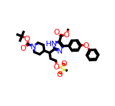 COC(=O)c1[nH]c(C(CCOS(C)(=O)=O)C2CCN(C(=O)OC(C)(C)C)CC2)nc1-c1ccc(Oc2ccccc2)cc1